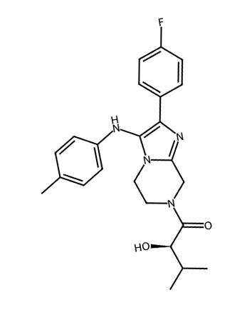 Cc1ccc(Nc2c(-c3ccc(F)cc3)nc3n2CCN(C(=O)[C@H](O)C(C)C)C3)cc1